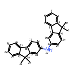 CC1(C)c2ccccc2-c2cc(Nc3ccc4c(c3)C(C)(C)c3ccccc3-4)ccc21